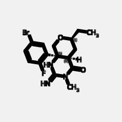 CC[C@H]1C[C@H]2C(=O)N(C)C(=N)N[C@@]2(c2cc(Br)ccc2F)CO1